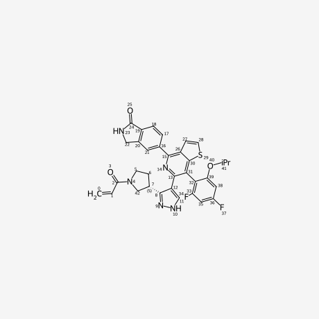 C=CC(=O)N1CC[C@H](c2n[nH]cc2-c2nc(-c3ccc4c(c3)CNC4=O)c3ccsc3c2-c2c(F)cc(F)cc2OC(C)C)C1